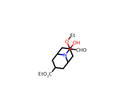 CCOC(=O)C1CC2CC(O)CC(C1)N2C(C=O)OCC